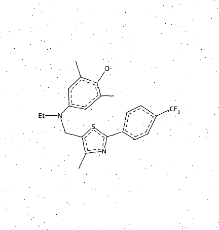 CCN(Cc1sc(-c2ccc(C(F)(F)F)cc2)nc1C)c1cc(C)c([O])c(C)c1